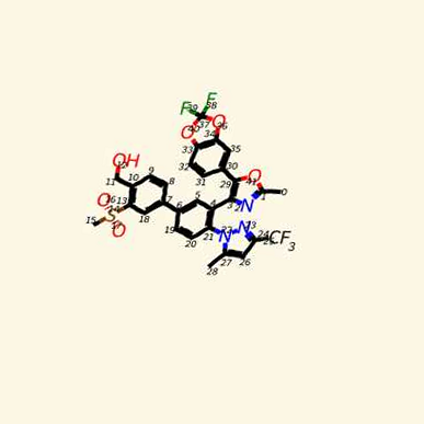 Cc1nc(-c2cc(-c3ccc(CO)c(S(C)(=O)=O)c3)ccc2-n2nc(C(F)(F)F)cc2C)c(-c2ccc3c(c2)OC(F)(F)O3)o1